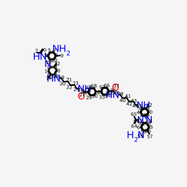 C=C(C)Nc1cc(N)c(C)cc1/N=C1/C=C(C)C(NCCCCCCNC(=O)c2ccc(-c3ccc(C(=O)NCCCCCCNc4cc5c(cc4C)nc4cc(C)c(N)cc4[n+]5C(=C)C)cc3)cc2)=CC1=C